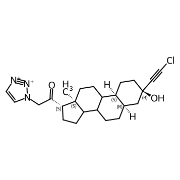 C[C@]12CCC3C(CC[C@@H]4C[C@@](O)(C#CCl)CC[C@H]34)C1CC[C@@H]2C(=O)Cn1cc[n+]#[n+]1